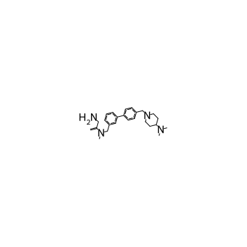 C=C(CN)N(C)Cc1cccc(-c2ccc(CN3CCC(N(C)C)CC3)cc2)c1